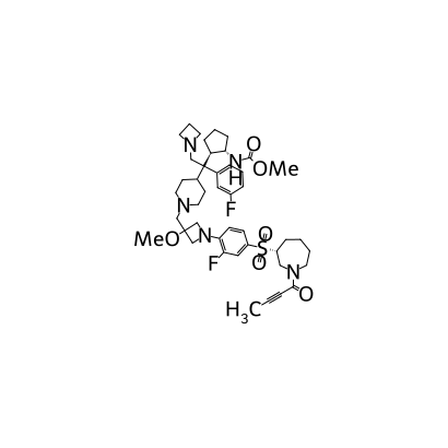 CC#CC(=O)N1CCCC[C@@H](S(=O)(=O)c2ccc(N3CC(CN4CCC(C(CN5CCC5)(c5cccc(F)c5)[C@H]5CCC[C@@H]5NC(=O)OC)CC4)(OC)C3)c(F)c2)C1